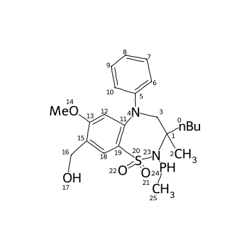 CCCCC1(C)CN(c2ccccc2)c2cc(OC)c(CO)cc2S(=O)(=O)N1PC